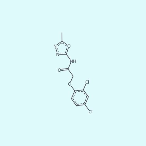 Cc1nnc(NC(=O)COc2ccc(Cl)cc2Cl)o1